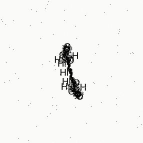 O=C(NCCCNCCCNC(=O)C(S)=C(S)C(=O)N1CCOCC1)C(S)=C(S)C(=O)N1CCOCC1